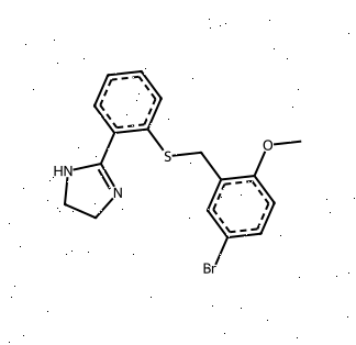 COc1ccc(Br)cc1CSc1ccccc1C1=NCCN1